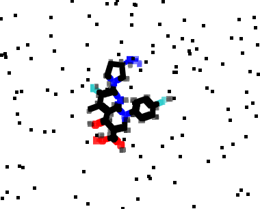 Cc1c(F)c(N2CC[C@H](N)C2)nc2c1c(=O)c(C(=O)O)cn2-c1ccc(F)cc1